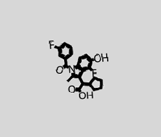 Cc1c(C(C(=O)O)C2CCCC2)c2c(F)c(O)ccc2n1C(=O)c1cccc(F)c1